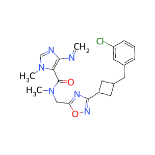 C=Nc1ncn(C)c1C(=O)N(C)Cc1nc(C2CC(Cc3cccc(Cl)c3)C2)no1